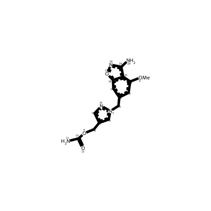 COc1cc(Cn2cc(COC(N)=O)cn2)cc2onc(N)c12